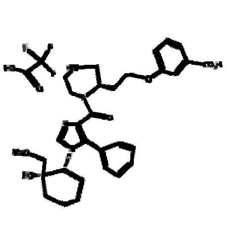 COC[C@]1(O)CCCC[C@H]1n1cnc(C(=O)N2CCNC[C@H]2CCOc2cccc(C(=O)O)c2)c1-c1ccccc1.O=C(O)C(F)(F)F